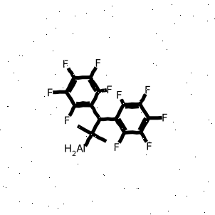 C[C](C)([AlH2])C(c1c(F)c(F)c(F)c(F)c1F)c1c(F)c(F)c(F)c(F)c1F